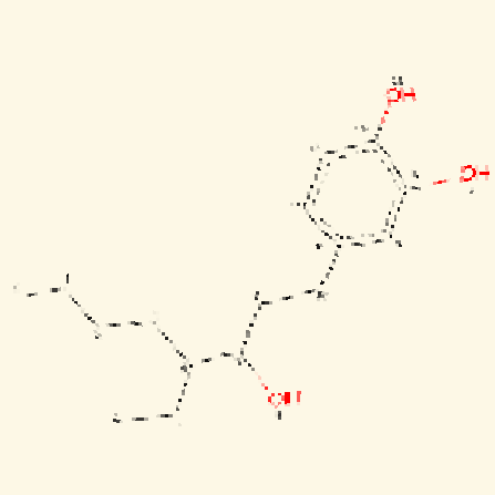 CCCCC(CC)C(O)CCc1ccc(O)c(O)c1